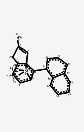 CC(C)C1=C2c3c(ccc(c3-c3cccc4ccccc34)[Si]2(C)C)[CH]1